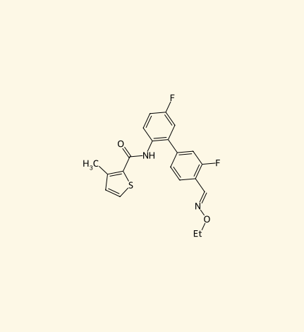 CCO/N=C/c1ccc(-c2cc(F)ccc2NC(=O)c2sccc2C)cc1F